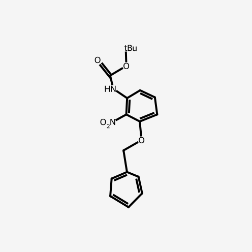 CC(C)(C)OC(=O)Nc1cccc(OCc2ccccc2)c1[N+](=O)[O-]